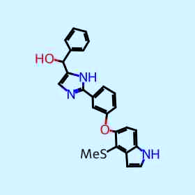 CSc1c(Oc2cccc(-c3ncc(C(O)c4ccccc4)[nH]3)c2)ccc2[nH]ccc12